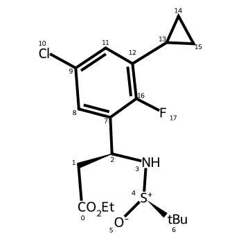 CCOC(=O)C[C@H](N[S@+]([O-])C(C)(C)C)c1cc(Cl)cc(C2CC2)c1F